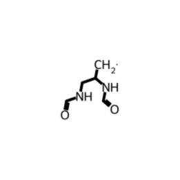 [CH2]C(CNC=O)NC=O